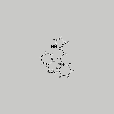 O=C(O)c1ccccc1.c1c[nH]c(CCN2CCCCC2)n1